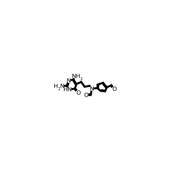 Nc1nc(N)c(CCCN(C=O)c2ccc([C]=O)cc2)c(=O)[nH]1